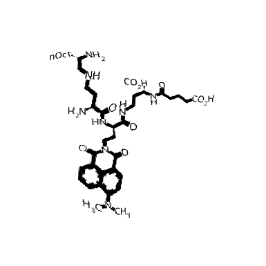 CCCCCCCC[C@H](N)CNCC[C@H](N)C(=O)N[C@H](CCN1C(=O)c2cccc3c(N(C)C)ccc(c23)C1=O)C(=O)NCC[C@@H](NC(=O)CCCC(=O)O)C(=O)O